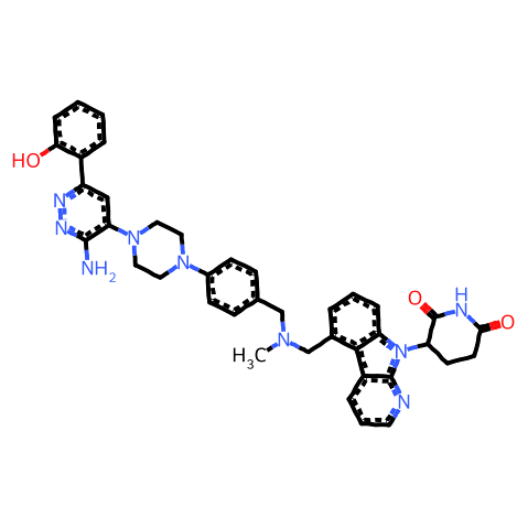 CN(Cc1ccc(N2CCN(c3cc(-c4ccccc4O)nnc3N)CC2)cc1)Cc1cccc2c1c1cccnc1n2C1CCC(=O)NC1=O